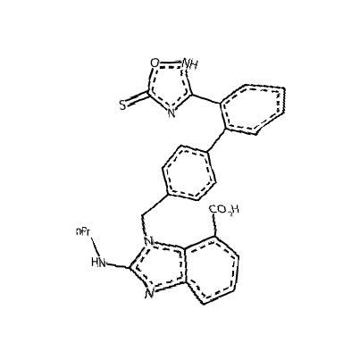 CCCNc1nc2cccc(C(=O)O)c2n1Cc1ccc(-c2ccccc2-c2nc(=S)o[nH]2)cc1